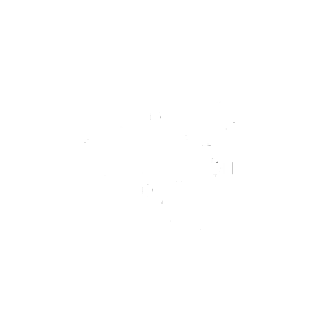 CC1=CCC(OC2=CC(OC3=CC(O)C(C)C=C3)CC(C)=C2)C=C1